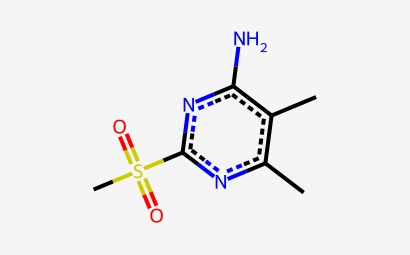 Cc1nc(S(C)(=O)=O)nc(N)c1C